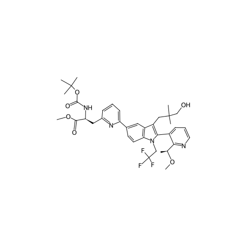 COC(=O)[C@H](Cc1cccc(-c2ccc3c(c2)c(CC(C)(C)CO)c(-c2cccnc2[C@H](C)OC)n3CC(F)(F)F)n1)NC(=O)OC(C)(C)C